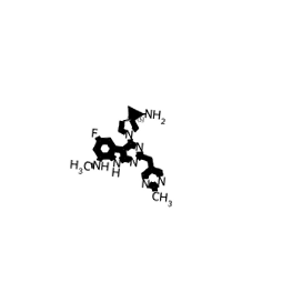 CNc1cc(F)cc2c1[nH]c1nc(Cc3cnc(C)nc3)nc(N3CC[C@@]4(C[C@@H]4N)C3)c12